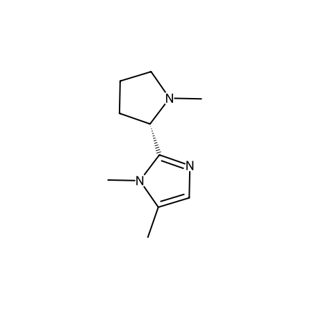 Cc1cnc([C@@H]2CCCN2C)n1C